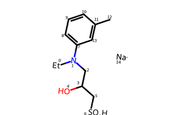 CCN(CC(O)CS(=O)(=O)O)c1cccc(C)c1.[Na]